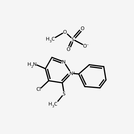 COS(=O)(=O)[O-].CSc1c(Cl)c(N)cn[n+]1-c1ccccc1